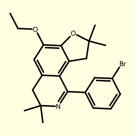 CCOc1cc2c(c3c1OC(C)(C)C3)C(c1cccc(Br)c1)=NC(C)(C)C2